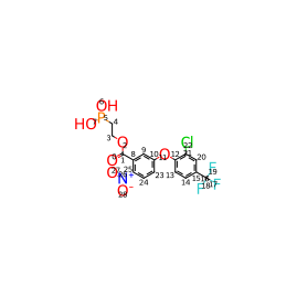 O=C(OCCP(O)O)c1cc(Oc2ccc(C(F)(F)F)cc2Cl)ccc1[N+](=O)[O-]